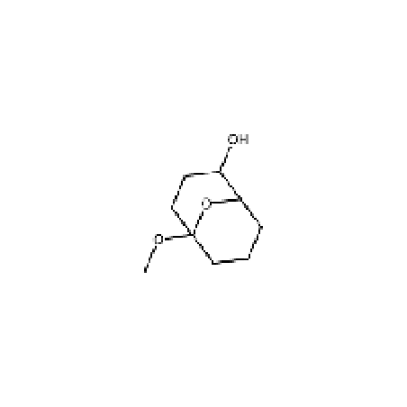 COC12CCCC(O1)C(O)CC2